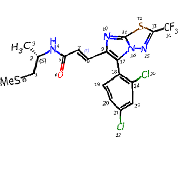 CSC[C@H](C)NC(=O)/C=C/c1nc2sc(C(F)(F)F)nn2c1-c1ccc(Cl)cc1Cl